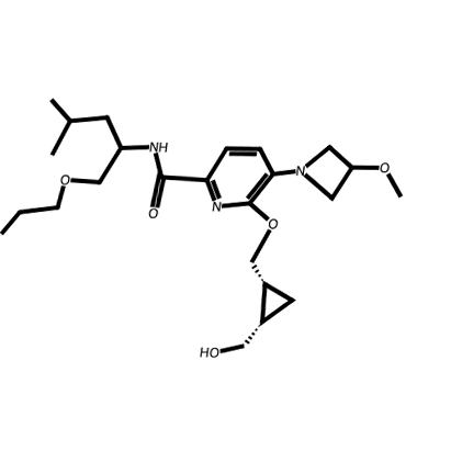 COC1CN(c2ccc(C(=O)NC(COCCF)CC(C)C)nc2OC[C@@H]2C[C@@H]2CO)C1